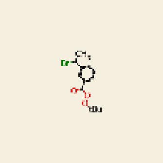 CC(Br)c1cccc(C(=O)OOC(C)(C)C)c1